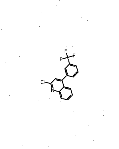 FC(F)(F)c1cccc(-c2cc(Cl)nc3ccccc23)c1